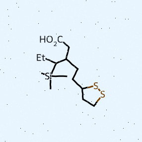 CCC(C(CCC1CCSS1)CC(=O)O)[Si](C)(C)C